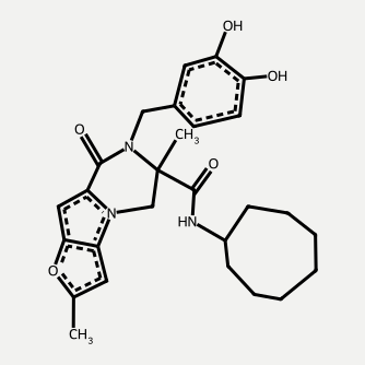 Cc1cc2c(cc3n2CC(C)(C(=O)NC2CCCCCCC2)N(Cc2ccc(O)c(O)c2)C3=O)o1